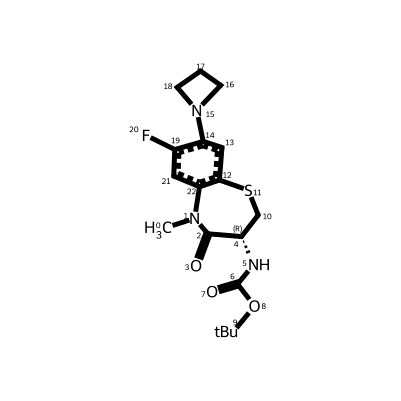 CN1C(=O)[C@@H](NC(=O)OC(C)(C)C)CSc2cc(N3CCC3)c(F)cc21